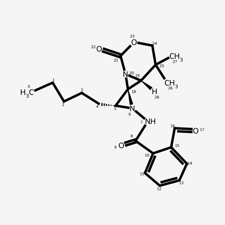 CCCCC[C@H]1N(NC(=O)c2ccccc2C=O)[C@@]12[C@@H]1N2C(=O)OCC1(C)C